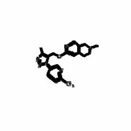 Cc1nnn(-c2ccc(C(F)(F)F)nc2)c1COc1cc2c(cn1)CN(C)CC2